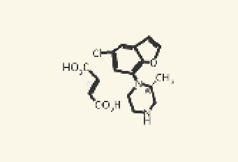 C[C@@H]1CNCCN1c1cc(Cl)cc2ccoc12.O=C(O)/C=C/C(=O)O